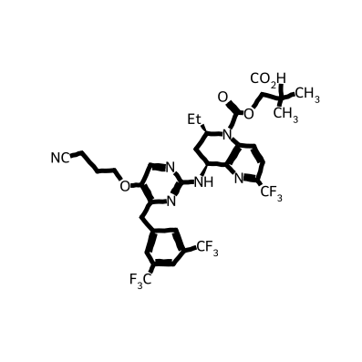 CC[C@@H]1C[C@H](Nc2ncc(OCCCC#N)c(Cc3cc(C(F)(F)F)cc(C(F)(F)F)c3)n2)c2nc(C(F)(F)F)ccc2N1C(=O)OCC(C)(C)C(=O)O